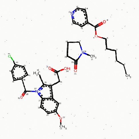 CCCCCCOC(=O)c1ccncc1.CN1CCCC1=O.COc1ccc2c(c1)c(CC(=O)O)c(C)n2C(=O)c1ccc(Cl)cc1